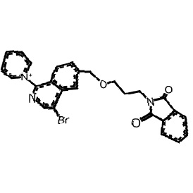 O=C1c2ccccc2C(=O)N1CCCOCc1ccc2c(-[n+]3ccccc3)ncc(Br)c2c1